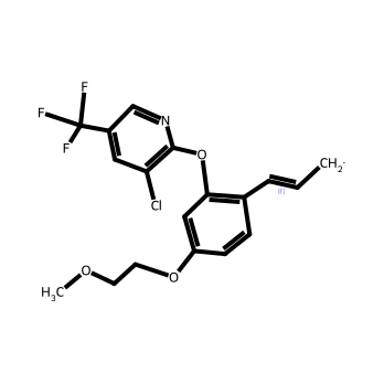 [CH2]/C=C/c1ccc(OCCOC)cc1Oc1ncc(C(F)(F)F)cc1Cl